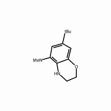 CNc1cc(C(C)(C)C)cc2c1NCCO2